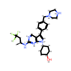 C[C@@H](CC(F)(F)F)Nc1ncc2c(-c3ccc(CN4CCNCC4)cc3)cn([C@H]3CC[C@H](O)CC3)c2n1